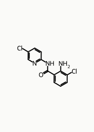 Nc1c(Cl)cccc1C(=O)Nc1ccc(Cl)cn1